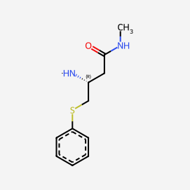 CNC(=O)C[C@@H]([NH])CSc1ccccc1